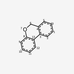 [c]1ccc2c(c1)COc1c[c]ccc1-2